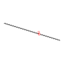 CCCCCCCCCCCCCCCCCCCCCCCCCCCCCCCCCC(=O)OCCCCCCCCCCCCCCCCCCCC